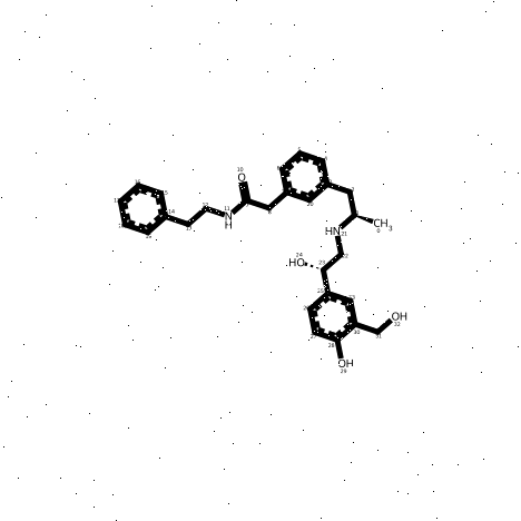 C[C@H](Cc1cccc(CC(=O)NCCc2ccccc2)c1)NC[C@@H](O)c1ccc(O)c(CO)c1